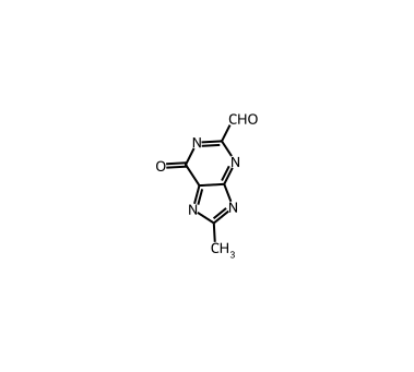 CC1=NC2=NC(C=O)=NC(=O)C2=N1